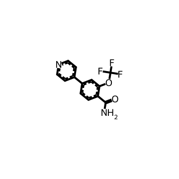 NC(=O)c1ccc(-c2ccncc2)cc1OC(F)(F)F